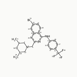 CC1CN(Cc2nc(Nc3ccc(C(F)(F)F)cc3)c3ccc(Br)cc3n2)CC(C)O1